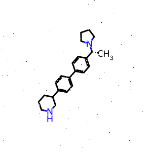 C[C@H](c1ccc(-c2ccc(C3CCCNC3)cc2)cc1)N1CCCC1